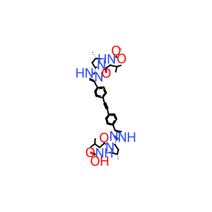 COC(=O)N[C@H](C(=O)N1C[C@@H](C)C[C@H]1c1nc(-c2ccc(C#Cc3ccc(-c4c[nH]c([C@@H]5C[C@H](C)CN5C(=O)[C@@H](NC(=O)O)C(C)C)n4)cc3)cc2)c[nH]1)C(C)C